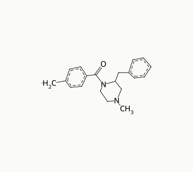 [CH2]c1ccc(C(=O)N2CCN(C)CC2Cc2ccccc2)cc1